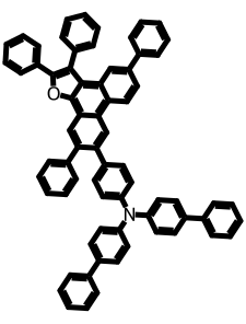 c1ccc(-c2ccc(N(c3ccc(-c4ccccc4)cc3)c3ccc(-c4cc5c6ccc(-c7ccccc7)cc6c6c(-c7ccccc7)c(-c7ccccc7)oc6c5cc4-c4ccccc4)cc3)cc2)cc1